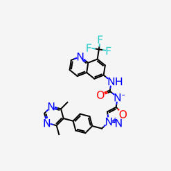 Cc1ncnc(C)c1-c1ccc(C[n+]2cc([N-]C(=O)Nc3cc(C(F)(F)F)c4ncccc4c3)on2)cc1